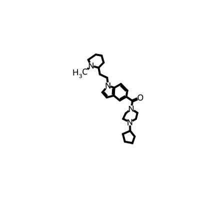 CN1CCCCC1CCn1ccc2cc(C(=O)N3CCN(C4CCCC4)CC3)ccc21